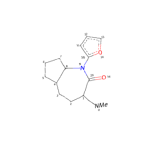 CNC1CCC2CCCC2N(c2ccco2)C1=O